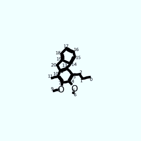 CCCc1c(OC)c(OC)c(C)c2c1-c1ccccc1C2